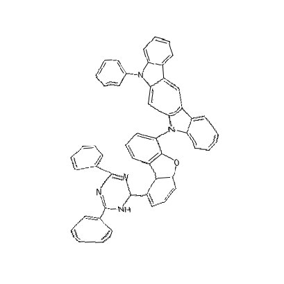 C1=CC2Oc3c(cccc3-n3c4ccccc4c4cc5c6ccccc6n(-c6ccccc6)c5cc43)C2C(C2N=C(c3ccccc3)N=C(c3ccccc3)N2)=C1